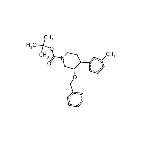 Cc1cccc([C@@H]2CCN(C(=O)OC(C)(C)C)C[C@H]2OCc2ccccc2)c1